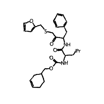 CC(C)CC(NC(=O)OCC1CC=CCC1)C(=O)NC(Cc1ccccc1)C(=O)CSCc1ccco1